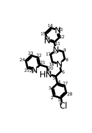 Clc1ccc(C(CN2CCN(c3cnccn3)CC2)NCc2ccccn2)cc1